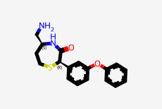 NC[C@@H]1CCS[C@H](c2cccc(Oc3ccccc3)c2)C(=O)N1